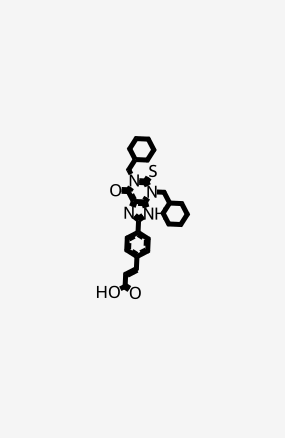 O=C(O)C=Cc1ccc(-c2nc3c(=O)n(CC4CCCCC4)c(=S)n(CC4CCCCC4)c3[nH]2)cc1